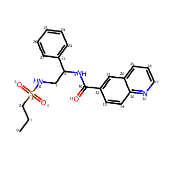 CCCS(=O)(=O)NCC(NC(=O)c1ccc2ncccc2c1)c1ccccc1